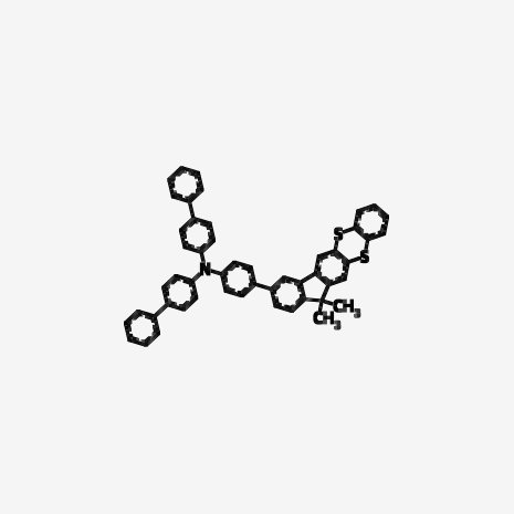 CC1(C)c2ccc(-c3ccc(N(c4ccc(-c5ccccc5)cc4)c4ccc(-c5ccccc5)cc4)cc3)cc2-c2cc3c(cc21)Sc1ccccc1S3